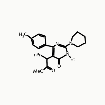 CCCC(C(=O)OC)c1c(-c2ccc(C)cc2)nc(N2CCCCC2)n(CC)c1=O